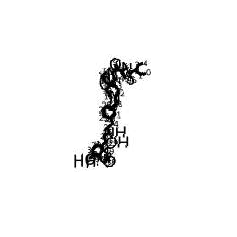 CCC(CC)c1nc(C(=O)N2CCOC3(CCN(Cc4cccc(CCNC[C@H](O)c5ccc(O)c6[nH]c(=O)sc56)c4)CC3)C2)cs1